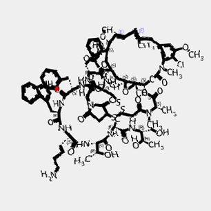 COc1cc2cc(c1Cl)N(C)C(=O)C[C@H](OC(=O)[C@H](C)N(C)C(=O)CCSC1CC(=O)N(CC(=O)N[C@H](Cc3ccccc3)C(=O)N[C@H]3CSSC[C@@H](C(=O)N[C@H](CO)[C@@H](C)O)NC(=O)[C@H]([C@@H](C)O)NC(=O)[C@H](CCCCN)NC(=O)[C@@H](Cc4c[nH]c5ccccc45)NC(=O)[C@H](Cc4ccccc4)NC3=O)C1=O)[C@]1(C)O[C@H]1[C@H](C)[C@@H]1C[C@@](O)(NC(=O)O1)[C@H](OC)/C=C/C=C(\C)C2